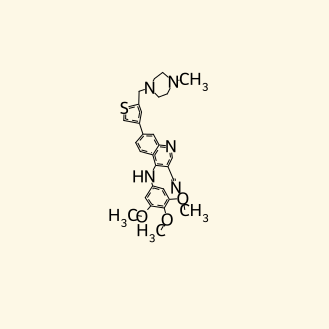 COc1cc(Nc2c(C#N)cnc3cc(-c4csc(CN5CCN(C)CC5)c4)ccc23)cc(OC)c1OC